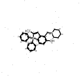 CC1=Cc2c(ccc(O)c2CN2CCCCC2)[N+]1(c1ccccc1)c1ccccc1